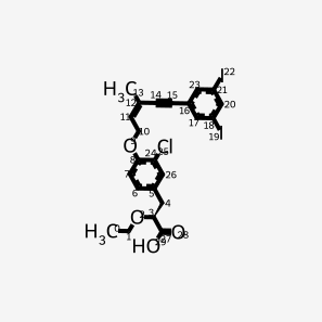 CCO[C@@H](Cc1ccc(OCC=C(C)C#Cc2cc(I)cc(I)c2)c(Cl)c1)C(=O)O